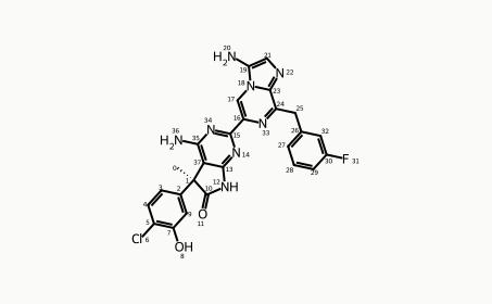 C[C@@]1(c2ccc(Cl)c(O)c2)C(=O)Nc2nc(-c3cn4c(N)cnc4c(Cc4cccc(F)c4)n3)nc(N)c21